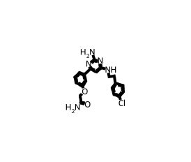 NC(=O)COc1cccc(-c2cc(NCCc3ccc(Cl)cc3)nc(N)n2)c1